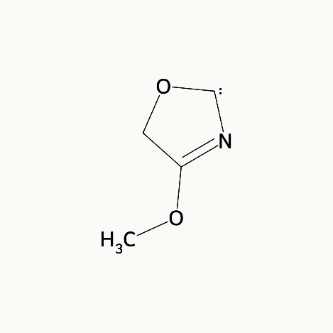 COC1=N[C]OC1